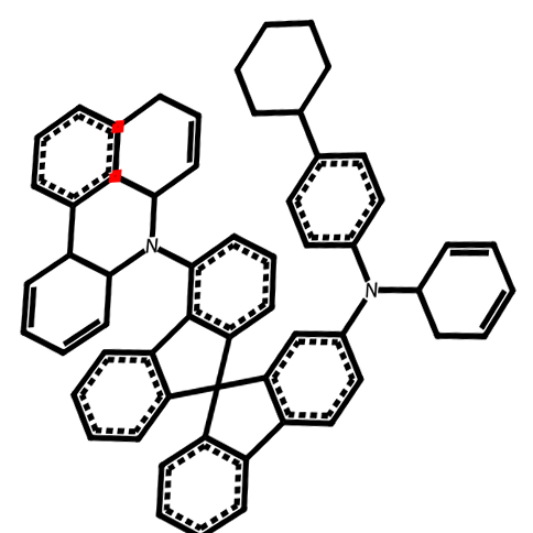 C1=CCC(N(c2ccc(C3CCCCC3)cc2)c2ccc3c(c2)C2(c4ccccc4-3)c3ccccc3-c3c(N(C4C=CCCC4)C4C=CC=CC4c4ccccc4)cccc32)C=C1